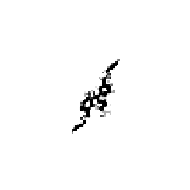 CC#CCOCc1cccc(C(O)(c2cccc(COCC#CC)c2)c2ccc(O)s2)c1